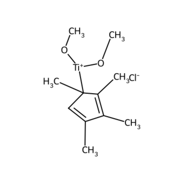 C[O][Ti+]([O]C)[C]1(C)C=C(C)C(C)=C1C.[Cl-]